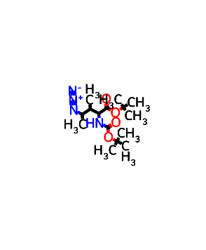 CC(N=[N+]=[N-])C(C)C(NC(=O)OC(C)(C)C)C(=O)OC(C)(C)C